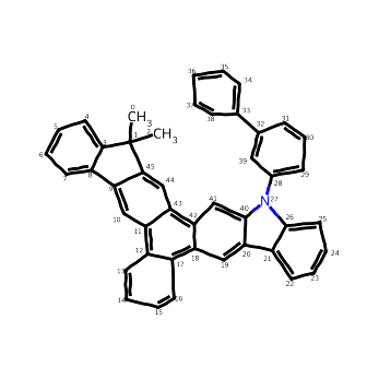 CC1(C)c2ccccc2-c2cc3c4ccccc4c4cc5c6ccccc6n(-c6cccc(-c7ccccc7)c6)c5cc4c3cc21